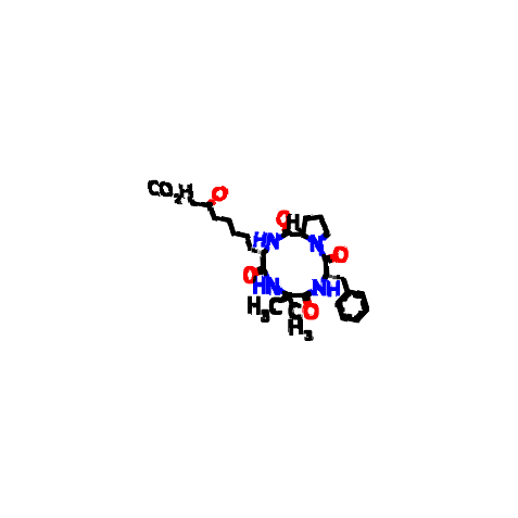 CC1(C)NC(=O)[C@H](CCCCCC(=O)CC(=O)O)NC(=O)[C@H]2CCCN2C(=O)[C@H](Cc2ccccc2)NC1=O